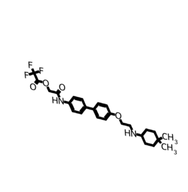 CC1(C)CCC(NCCOc2ccc(-c3ccc(NC(=O)COC(=O)C(F)(F)F)cc3)cc2)CC1